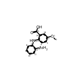 COc1ccc(Nc2ccccc2[AsH2])c(C(=O)O)c1